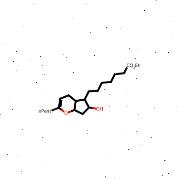 CCCCCC1=CCC2C(CC(O)C2CCCCCCC(=O)OCC)O1